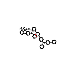 CC1(C)c2ccccc2-c2ccc(N(c3ccccc3)c3ccccc3-c3ccc(-c4ccc(N(c5ccccc5)c5ccc(-c6ccccc6)cc5)cc4)cc3)cc21